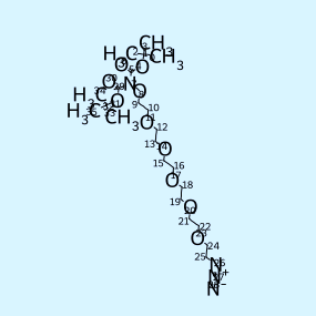 CC(C)(C)OC(=O)N(OCCOCCOCCOCCOCCOCCN=[N+]=[N-])C(=O)OC(C)(C)C